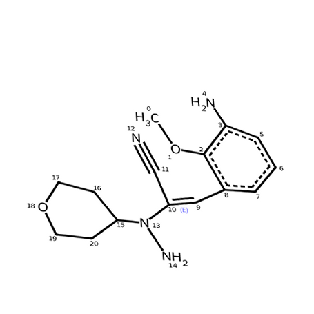 COc1c(N)cccc1/C=C(\C#N)N(N)C1CCOCC1